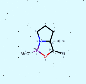 CC[C@H]1O[P@](OC)N2CCC[C@@H]12